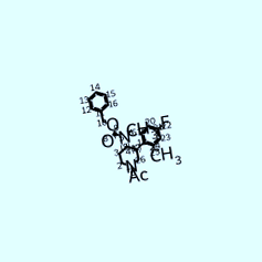 CC(=O)N1CC[C@H](N(C)C(=O)OCc2ccccc2)[C@@H](c2ccc(F)cc2C)C1